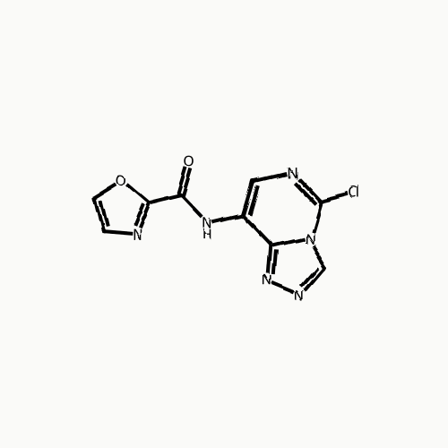 O=C(Nc1cnc(Cl)n2cnnc12)c1ncco1